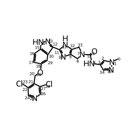 Cn1cc(NC(=O)N2Cc3nc(-c4n[nH]c5ccc(OCc6c(Cl)cncc6Cl)cc45)[nH]c3C2)cn1